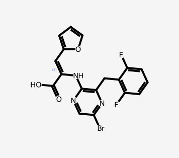 O=C(O)/C(=C/c1ccco1)Nc1ncc(Br)nc1Cc1c(F)cccc1F